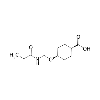 CCC(=O)NCO[C@H]1CC[C@@H](C(=O)O)CC1